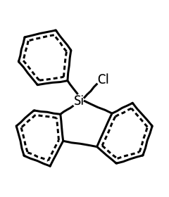 Cl[Si]1(c2ccccc2)c2ccccc2-c2ccccc21